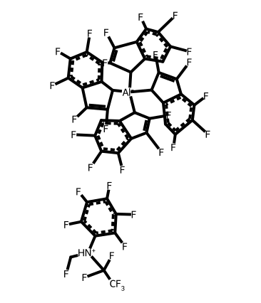 FC1=C(F)[CH]([Al-]([CH]2C(F)=C(F)c3c2cc(F)c(F)c3F)([CH]2C(F)=C(F)c3c2cc(F)c(F)c3F)[CH]2C(F)=C(F)c3c2cc(F)c(F)c3F)c2cc(F)c(F)c(F)c21.FC[NH+](c1c(F)c(F)c(F)c(F)c1F)C(F)(F)C(F)(F)F